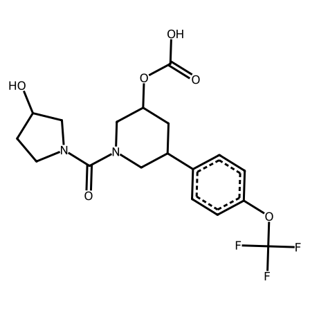 O=C(O)OC1CC(c2ccc(OC(F)(F)F)cc2)CN(C(=O)N2CCC(O)C2)C1